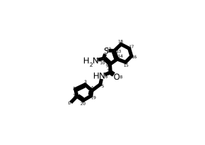 Cc1ccc(CNC(=O)c2c(N)sc3c2CCCC3)cc1